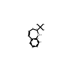 CC(C)(C)C1CC=Cc2ccccc2O1